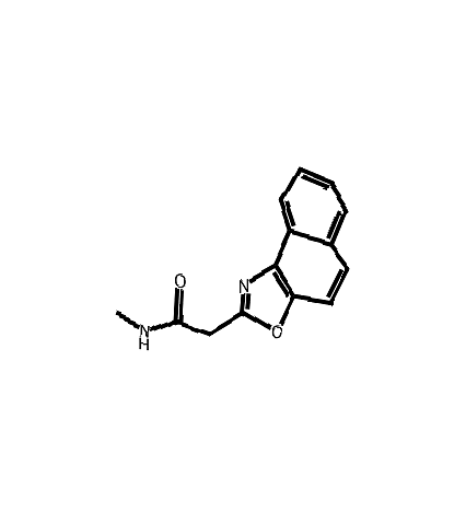 CNC(=O)Cc1nc2c(ccc3ccccc32)o1